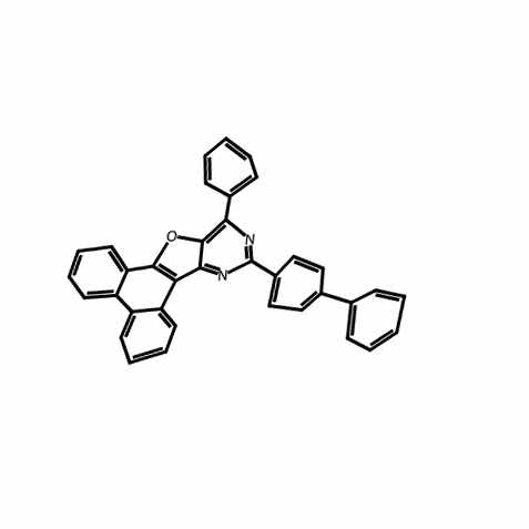 c1ccc(-c2ccc(-c3nc(-c4ccccc4)c4oc5c6ccccc6c6ccccc6c5c4n3)cc2)cc1